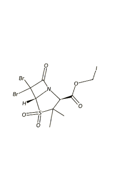 CC1(C)[C@H](C(=O)OCI)N2C(=O)C(Br)(Br)[C@H]2S1(=O)=O